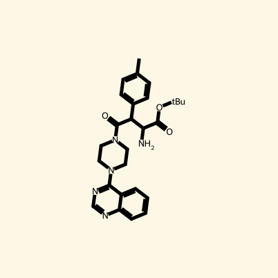 Cc1ccc(C(C(=O)N2CCN(c3ncnc4ccccc34)CC2)C(N)C(=O)OC(C)(C)C)cc1